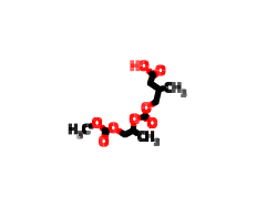 COC(=O)OCC(C)OC(=O)OCC(C)CC(=O)O